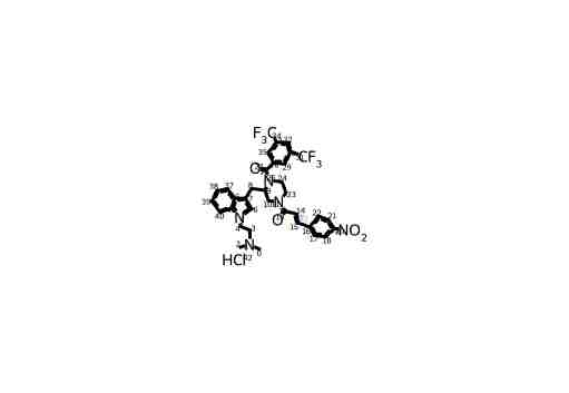 CN(C)CCn1cc(CC2CN(C(=O)/C=C/c3ccc([N+](=O)[O-])cc3)CCN2C(=O)c2cc(C(F)(F)F)cc(C(F)(F)F)c2)c2ccccc21.Cl